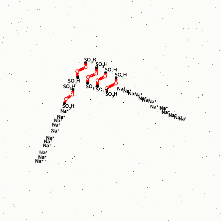 O=S(=O)(O)OOS(=O)(=O)O.O=S(=O)(O)OOS(=O)(=O)O.O=S(=O)(O)OOS(=O)(=O)O.O=S(=O)(O)OOS(=O)(=O)O.O=S(=O)(O)OOS(=O)(=O)O.[Na+].[Na+].[Na+].[Na+].[Na+].[Na+].[Na+].[Na+].[Na+].[Na+].[Na+].[Na+].[Na+].[Na+].[Na+].[Na+].[Na+].[Na+].[Na+].[Na+].[Na+].[Na+].[Na+].[Na+]